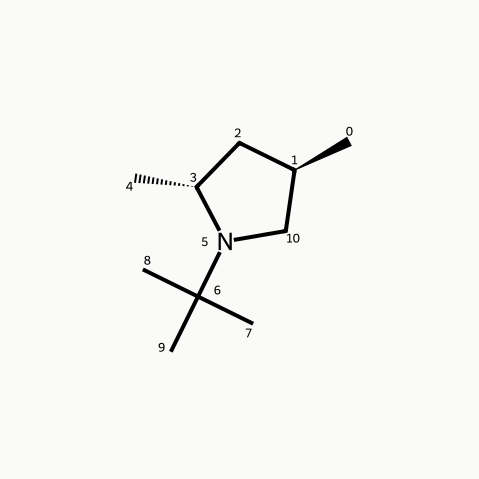 C[C@@H]1C[C@@H](C)N(C(C)(C)C)C1